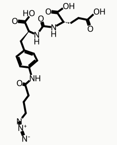 [N-]=[N+]=NCCCC(=O)Nc1ccc(C[C@H](NC(=O)N[C@@H](CCC(=O)O)C(=O)O)C(=O)O)cc1